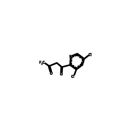 O=C(CC(=O)C(F)(F)F)c1ncc(Cl)cc1Cl